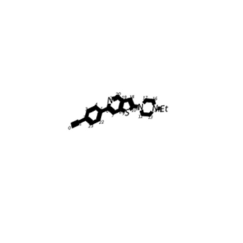 C#Cc1ccc(-c2cc3sc(N4CCN(CC)CC4)cc3cn2)cc1